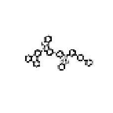 c1ccc(-c2ccc(-c3cccc(-n4c5ccc(-c6ccc7c(c6)n6c8ccccc8nc6n7-c6ccc7c8ccccc8c8ccccc8c7c6)cc5n5c6ccccc6nc45)c3)cc2)cc1